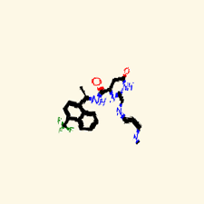 C=N/C=C\C=N/Cc1nc(C(=O)N[C@H](C)c2ccc(C(F)(F)F)c3ccccc23)cc(=O)[nH]1